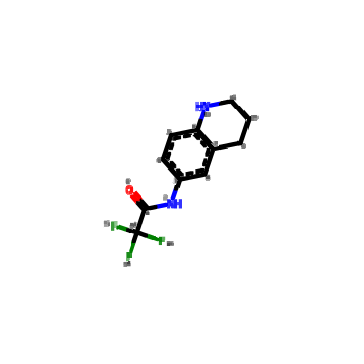 O=C(Nc1ccc2c(c1)CCCN2)C(F)(F)F